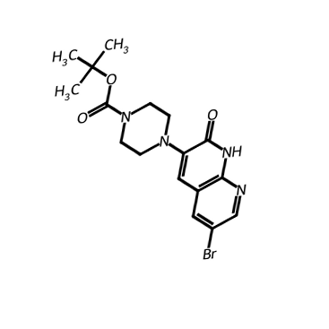 CC(C)(C)OC(=O)N1CCN(c2cc3cc(Br)cnc3[nH]c2=O)CC1